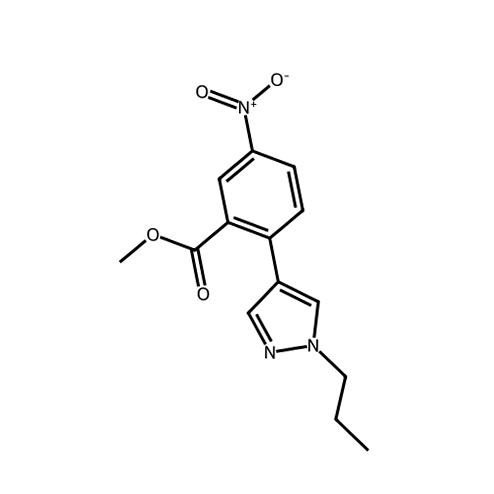 CCCn1cc(-c2ccc([N+](=O)[O-])cc2C(=O)OC)cn1